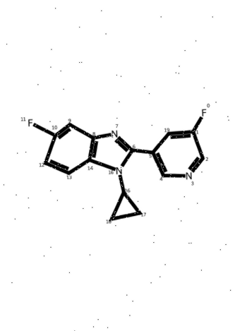 Fc1cncc(-c2nc3cc(F)ccc3n2C2CC2)c1